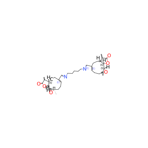 C=C1C(=O)O[C@H]2[C@H]1CC/C(C=NCCCCC/N=C/C1=C/CC[C@@]3(C)O[C@H]3[C@H]3OC(=O)C(=C)[C@@H]3CC1)=C\CC[C@@]1(C)O[C@@H]21